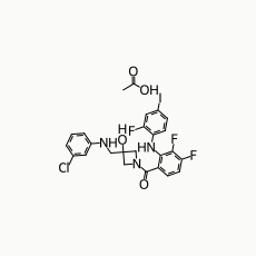 CC(=O)O.O=C(c1ccc(F)c(F)c1Nc1ccc(I)cc1F)N1CC(O)(CNc2cccc(Cl)c2)C1